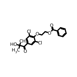 CC(C)(O)C(=O)c1cc(Cl)c(OCCOC(=O)c2ccccc2)c(Cl)c1